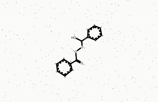 O=C(OOC(O)c1ccccc1)c1ccccc1